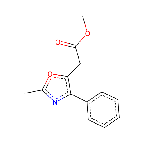 COC(=O)Cc1oc(C)nc1-c1ccccc1